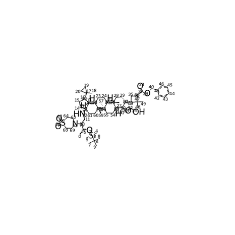 C[C@H](O[Si](C)(C)C(C)(C)C)[C@H](CN[C@]12CC[C@@H](C3(C)CC3)[C@@H]1[C@H]1CC[C@@H]3[C@]4(C)CC[C@H]([C@@]5(C(=O)O)C[C@@H](C(=O)OCc6ccccc6)C5(C)C)C(C)(C)[C@H]4CC[C@@]3(C)[C@]1(C)CC2)N1CCS(=O)(=O)CC1